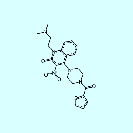 CN(C)CCn1c(=O)c([N+](=O)[O-])c(N2CCN(C(=O)c3cccs3)CC2)c2ccccc21